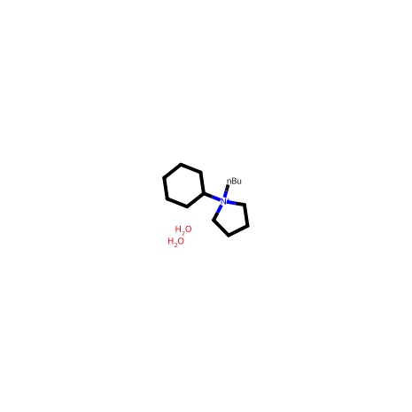 CCCC[N+]1(C2CCCCC2)CCCC1.O.O